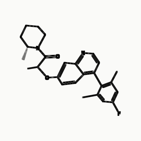 Cc1cc(F)cc(C)c1-c1ccnc2cc(OC(C)C(=O)N3CCCC[C@H]3C)ccc12